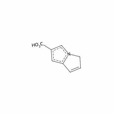 O=C(O)c1cc2n(c1)CC=C2